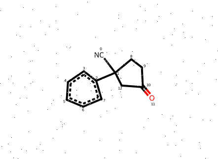 N#CC1(c2ccccc2)CCC(=O)C1